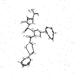 CC(N)c1cn(C)c(C(=O)N2CC(c3ccccc3)CC2C(=O)N2CCC(c3ccccc3)C2)n1